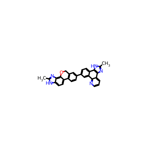 Cc1nc2c3c(ccc2[nH]1)-c1ccc(-c2ccc4c(c2)c2ncccc2c2nc(C)[nH]c42)cc1CO3